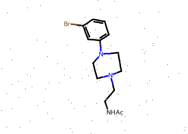 CC(=O)NCCN1CCN(c2cccc(Br)c2)CC1